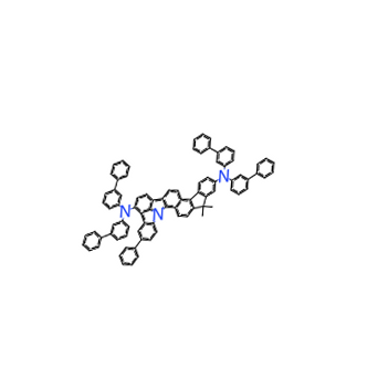 CC1(C)c2cc(N(c3cccc(-c4ccccc4)c3)c3cccc(-c4ccccc4)c3)ccc2-c2c1ccc1c2ccc2c3ccc(N(c4cccc(-c5ccccc5)c4)c4cccc(-c5ccccc5)c4)c4c5cc(-c6ccccc6)ccc5n(c12)c34